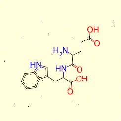 NC(CCC(=O)O)C(=O)NC(Cc1c[nH]c2ccccc12)C(=O)O